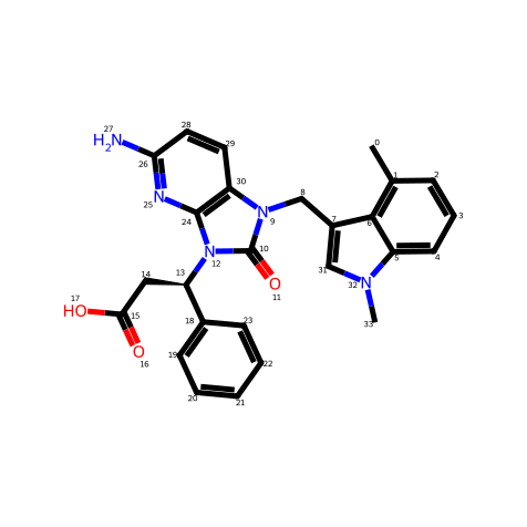 Cc1cccc2c1c(Cn1c(=O)n([C@H](CC(=O)O)c3ccccc3)c3nc(N)ccc31)cn2C